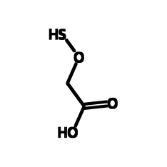 O=C(O)COS